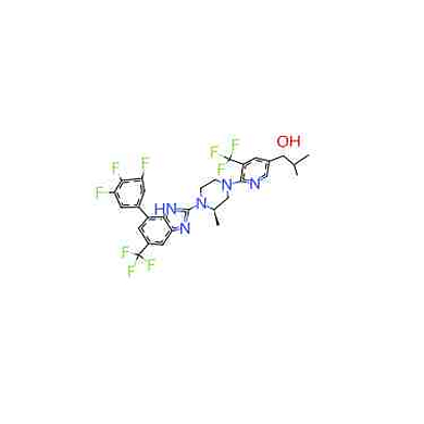 CC(C)[C@@H](O)c1cnc(N2CCN(c3nc4cc(C(F)(F)F)cc(-c5cc(F)c(F)c(F)c5)c4[nH]3)[C@H](C)C2)c(C(F)(F)F)c1